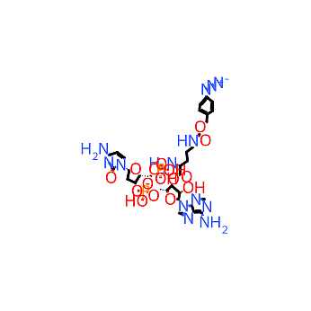 [N-]=[N+]=Nc1ccc(COC(=O)NCCC[C@H](N)C(=O)O[C@H]2[C@@H](O)[C@H](n3cnc4c(N)ncnc43)O[C@@H]2COP(=O)(O)O[C@H]2C[C@H](n3ccc(N)nc3=O)O[C@@H]2COP(=O)(O)O)cc1